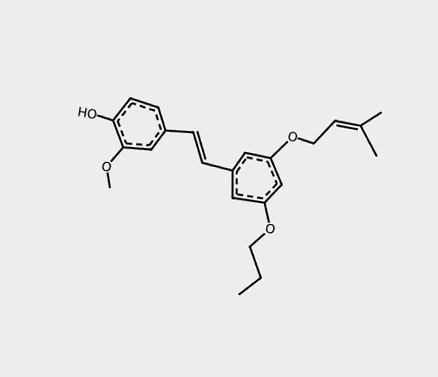 CCCOc1cc(C=Cc2ccc(O)c(OC)c2)cc(OCC=C(C)C)c1